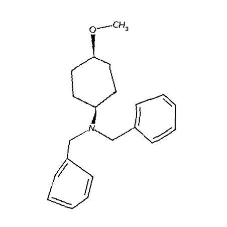 CO[C@H]1CC[C@@H](N(Cc2ccccc2)Cc2ccccc2)CC1